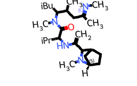 C=C(NC(C(=O)N(C)C(C(C)CC)C(C)C/C(C)=N/C)C(C)C)C1C2CC[C@@H](C2)N1C